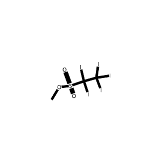 COS(=O)(=O)C(I)(I)C(I)(I)I